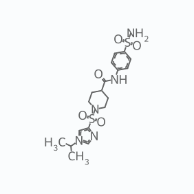 CC(C)n1cnc(S(=O)(=O)N2CCC(C(=O)Nc3ccc(S(N)(=O)=O)cc3)CC2)c1